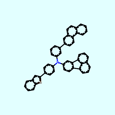 c1cc(-c2ccc3c(ccc4ccccc43)c2)cc(N(c2ccc(-c3cc4ccccc4s3)cc2)c2ccc3c(c2)-c2cccc4cccc-3c24)c1